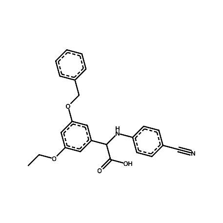 CCOc1cc(OCc2ccccc2)cc(C(Nc2ccc(C#N)cc2)C(=O)O)c1